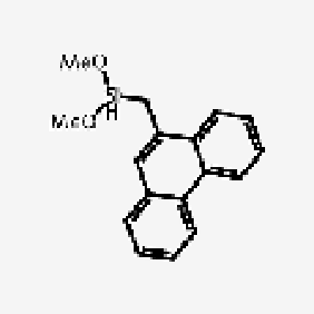 CO[SiH](Cc1cc2ccccc2c2ccccc12)OC